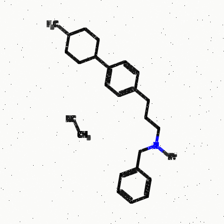 CC#N.CC(C)N(CCCc1ccc(C2CCC(C(F)(F)F)CC2)cc1)Cc1ccccc1